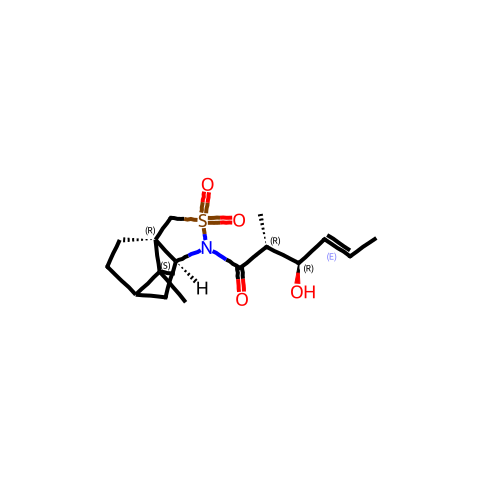 C/C=C/[C@@H](O)[C@@H](C)C(=O)N1[C@H]2CC3CC[C@@]2(CS1(=O)=O)C3(C)C